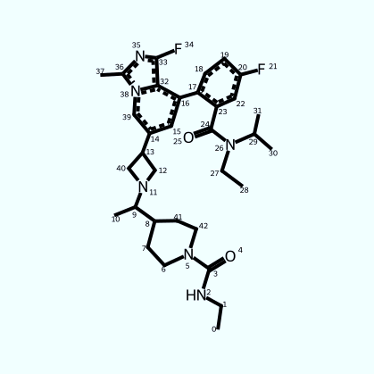 CCNC(=O)N1CCC(C(C)N2CC(c3cc(-c4ccc(F)cc4C(=O)N(CC)C(C)C)c4c(F)nc(C)n4c3)C2)CC1